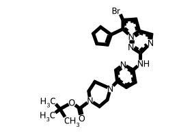 CC(C)(C)OC(=O)N1CCN(c2ccc(Nc3ncc4cc(Br)c(C5=CCCC5)n4n3)nc2)CC1